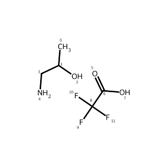 CC(O)CN.O=C(O)C(F)(F)F